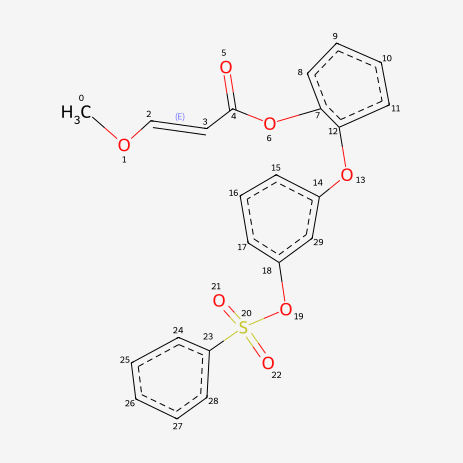 CO/C=C/C(=O)Oc1ccccc1Oc1cccc(OS(=O)(=O)c2ccccc2)c1